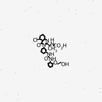 CC(NC(=O)O)c1nc2cccc(Cl)c2c(=O)n1-c1cccc(NC(=O)Nc2ccccc2OCCO)c1